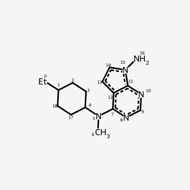 CCC1CCC(N(C)c2ncnc3c2ccn3N)CC1